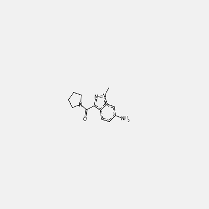 Cn1nc(C(=O)N2CCCC2)c2ccc(N)cc21